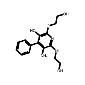 N#Cc1c(SCCO)nc(NCCO)c(N)c1-c1ccccc1